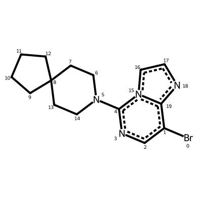 Brc1cnc(N2CCC3(CCCC3)CC2)n2ccnc12